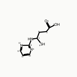 O=C(O)CCC(S)Nc1ncccn1